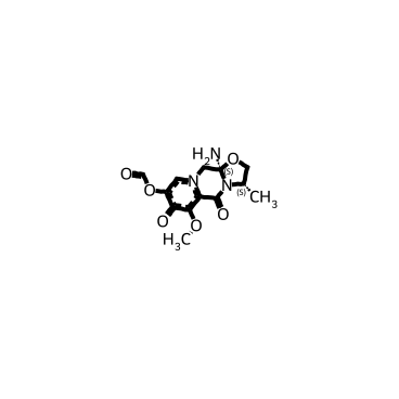 COc1c2n(cc(OC=O)c1=O)C[C@@]1(N)OC[C@H](C)N1C2=O